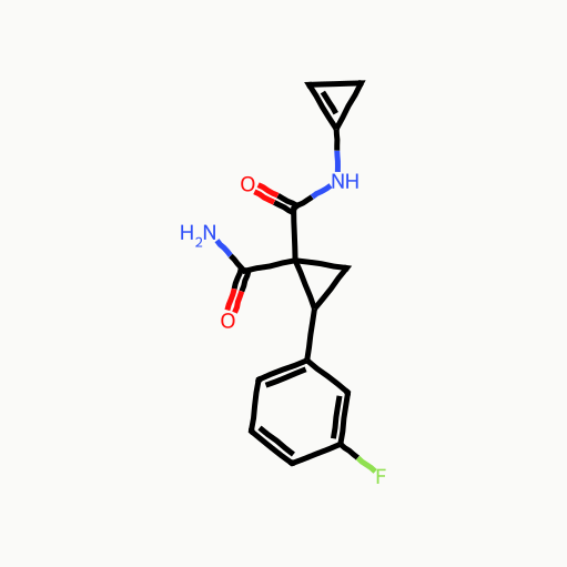 NC(=O)C1(C(=O)NC2=CC2)CC1c1cccc(F)c1